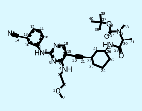 COCCNc1nc(Nc2cccc(C#N)c2)ncc1C#C[C@@H]1CCC[C@H](NC(=O)[C@H](C)N(C)C(=O)OC(C)(C)C)C1